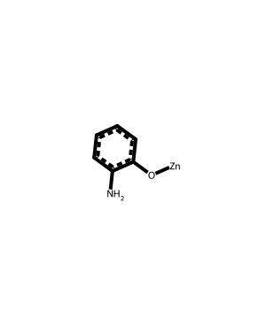 Nc1ccccc1[O][Zn]